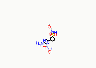 COCCNS(=O)(=O)c1cccc(-c2cnc(N)c(C(=O)NCOC)n2)c1